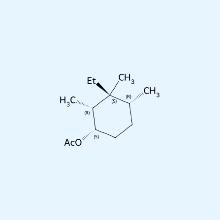 CC[C@@]1(C)[C@H](C)CC[C@H](OC(C)=O)[C@@H]1C